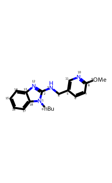 CCCCn1c(NCc2ccc(OC)nc2)nc2ccccc21